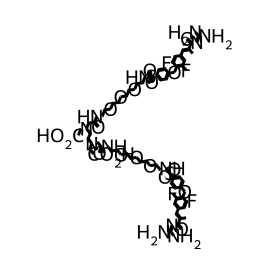 C/C(=C\c1cc(F)c(Oc2ccc(S(=O)(=O)NCCOCCOCCOCCNC(=O)CN(CCN(CC(=O)O)CC(=O)NCCOCCOCCOCCNS(=O)(=O)c3ccc(Oc4c(F)cc(/C=C(\C)C(=O)N=C(N)N)cc4F)cc3)CC(=O)O)cc2)c(F)c1)C(=O)N=C(N)N